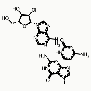 Nc1cc[nH]c(=O)n1.Nc1nc2nc[nH]c2c(=O)[nH]1.Nc1ncnc2c1ncn2[C@@H]1O[C@H](CO)[C@@H](O)[C@H]1O